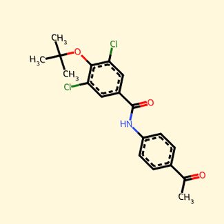 CC(=O)c1ccc(NC(=O)c2cc(Cl)c(OC(C)(C)C)c(Cl)c2)cc1